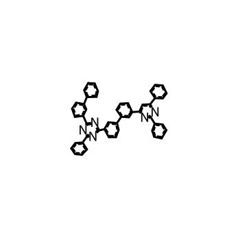 c1ccc(-c2cccc(-c3nc(-c4ccccc4)nc(-c4cccc(-c5cccc(-c6cc(-c7ccccc7)nc(-c7ccccc7)n6)c5)c4)n3)c2)cc1